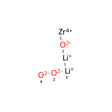 [Li+].[Li+].[O-2].[O-2].[O-2].[Zr+4]